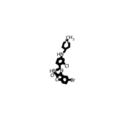 CN1CCC(CNc2ccc(-c3nc4c(oc5ccc(Br)cc54)c(=O)[nH]3)c(Cl)c2)CC1